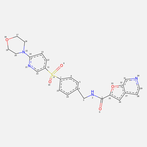 O=C(NCc1ccc(S(=O)(=O)c2ccc(N3CCOCC3)nc2)cc1)c1cc2ccncc2o1